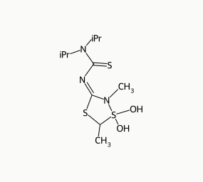 CC(C)N(C(=S)/N=C1/SC(C)S(O)(O)N1C)C(C)C